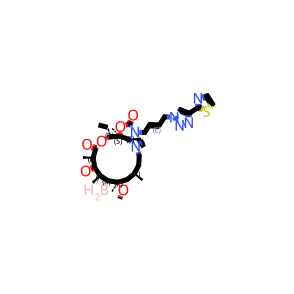 B[C@@H]1[C@@H](C)C(=O)[C@@H](C)C(=O)O[C@H](CC)[C@@]2(C)OC(=O)N(C/C=C/Cn3cc(-c4nccs4)nn3)[C@]2(CC)N(C)CC[C@@H](C)C[C@@]1(C)OC